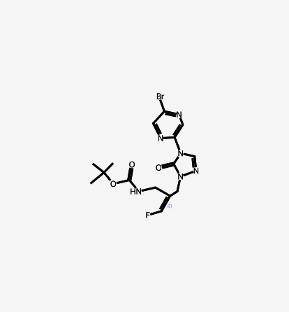 CC(C)(C)OC(=O)NC/C(=C\F)Cn1ncn(-c2cnc(Br)cn2)c1=O